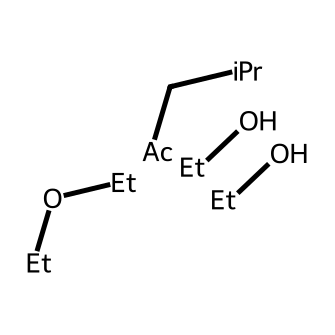 CC(=O)CC(C)C.CCO.CCO.CCOCC